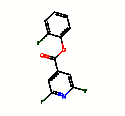 O=C(Oc1ccccc1F)c1cc(F)nc(F)c1